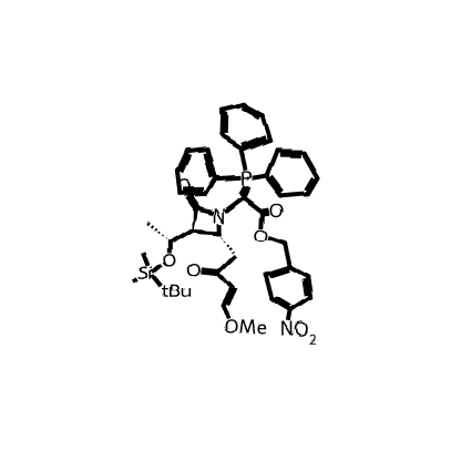 COC=CC(=O)C[C@@H]1[C@@H]([C@@H](C)O[Si](C)(C)C(C)(C)C)C(=O)N1C(C(=O)OCc1ccc([N+](=O)[O-])cc1)=P(c1ccccc1)(c1ccccc1)c1ccccc1